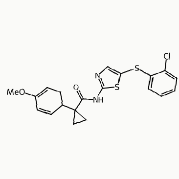 COC1=CCC(C2(C(=O)Nc3ncc(Sc4ccccc4Cl)s3)CC2)C=C1